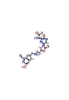 COc1cc2c(c(C#N)n1)CC(CNCCC1CN(c3cnc4c(n3)NC(=O)CO4)C(=O)O1)C2